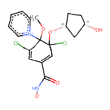 COC1([n+]2ccccc2)C(Cl)=CC(C(=O)N[O-])=CC1(Cl)O[C@@H]1CC[C@H](O)C1